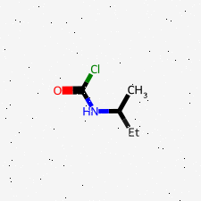 CCC(C)NC(=O)Cl